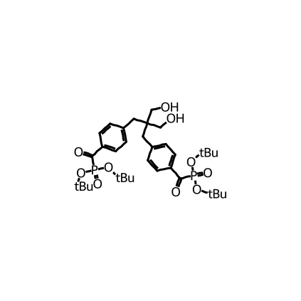 CC(C)(C)OP(=O)(OC(C)(C)C)C(=O)c1ccc(CC(CO)(CO)Cc2ccc(C(=O)P(=O)(OC(C)(C)C)OC(C)(C)C)cc2)cc1